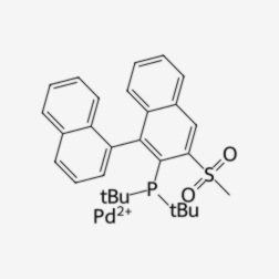 CC(C)(C)P(c1c(S(C)(=O)=O)cc2ccccc2c1-c1cccc2ccccc12)C(C)(C)C.[Pd+2]